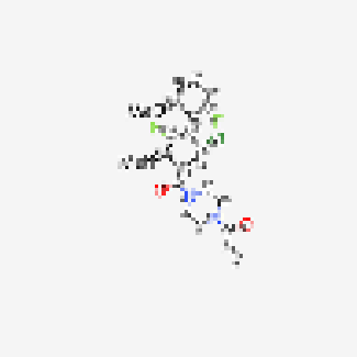 C=CC(=O)N1CCN(C(=O)c2cc(Cl)c(-c3c(F)cccc3OC)c(F)c2NC)CC1